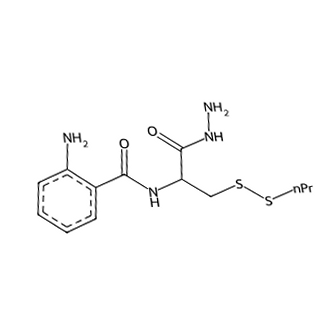 CCCSSCC(NC(=O)c1ccccc1N)C(=O)NN